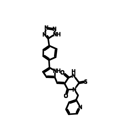 O=C1NC(=S)N(Cc2ccccn2)C(=O)C1=Cc1ccc(-c2ccc(-c3nnn[nH]3)cc2)[nH]1